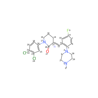 CN1CCN(c2ccc(F)cc2/C=C2\CCCN(c3ccc(Cl)c(Cl)c3)C2=O)CC1